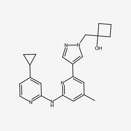 Cc1cc(Nc2cc(C3CC3)ccn2)nc(-c2cnn(CC3(O)CCC3)c2)c1